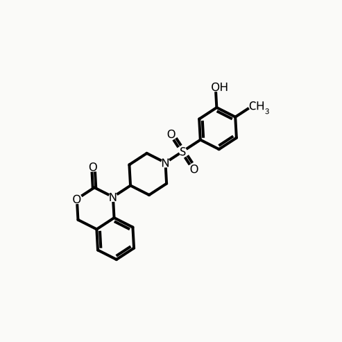 Cc1ccc(S(=O)(=O)N2CCC(N3C(=O)OCc4ccccc43)CC2)cc1O